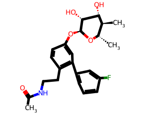 CC(=O)NCCc1ccc(O[C@@H]2O[C@@H](C)[C@H](C)[C@@H](O)[C@H]2O)cc1-c1cccc(F)c1